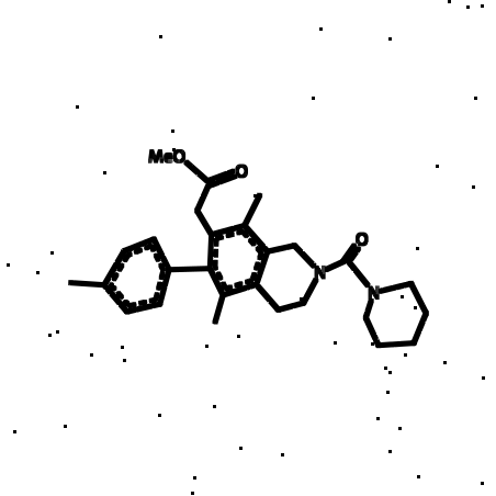 COC(=O)Cc1c(C)c2c(c(C)c1-c1ccc(C)cc1)CCN(C(=O)N1CCCCC1)C2